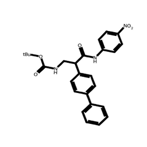 CC(C)(C)OC(=O)NCC(C(=O)Nc1ccc([N+](=O)[O-])cc1)c1ccc(-c2ccccc2)cc1